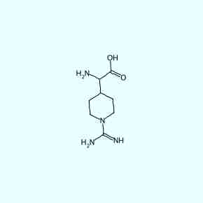 N=C(N)N1CCC(C(N)C(=O)O)CC1